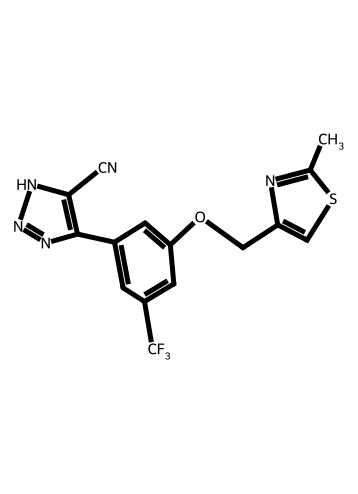 Cc1nc(COc2cc(-c3nn[nH]c3C#N)cc(C(F)(F)F)c2)cs1